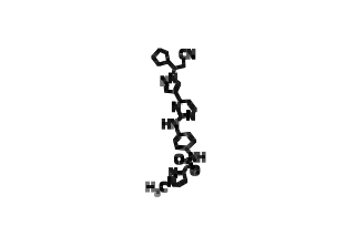 Cn1ccc(S(=O)(=O)Nc2ccc(Nc3nccc(-c4cnn(C(CC#N)C5CCCC5)c4)n3)cc2)n1